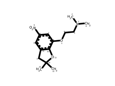 CN(C)CCOc1cc([N+](=O)[O-])cc2c1OC(C)(C)C2